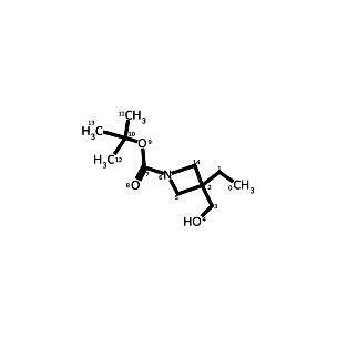 CCC1(CO)CN(C(=O)OC(C)(C)C)C1